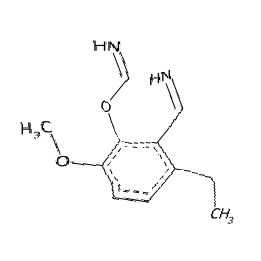 CCc1ccc(OC)c(OC=N)c1C=N